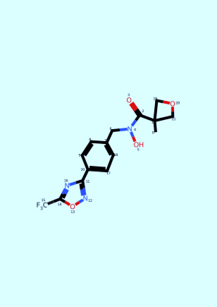 CC1(C(=O)N(O)Cc2ccc(-c3noc(C(F)(F)F)n3)cc2)COC1